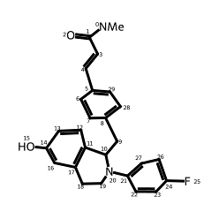 CNC(=O)/C=C/c1ccc(CC2c3ccc(O)cc3CCN2c2ccc(F)cc2)cc1